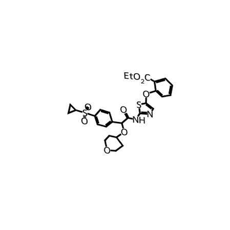 CCOC(=O)c1ccccc1Oc1cnc(NC(=O)C(OC2CCOCC2)c2ccc(S(=O)(=O)C3CC3)cc2)s1